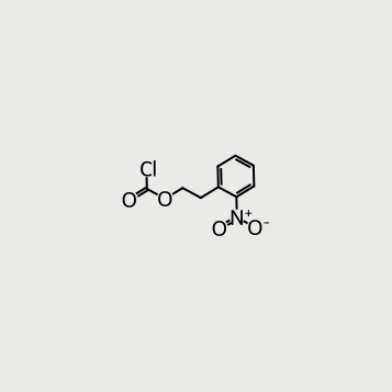 O=C(Cl)OCCc1ccccc1[N+](=O)[O-]